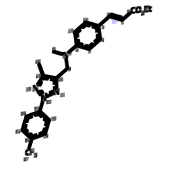 CCOC(=O)/C=C/c1ccc(N(C)Cc2nn(-c3ccc(C(F)(F)F)cc3)nc2C)cc1